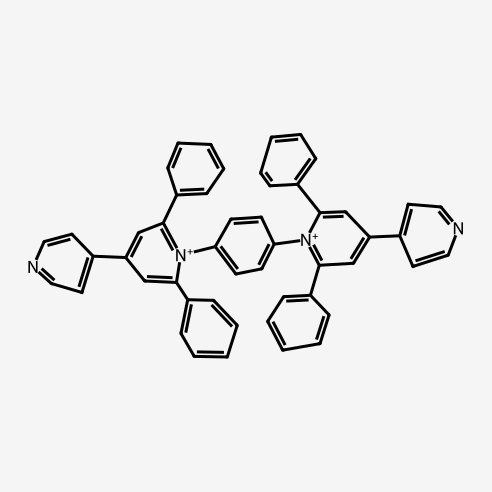 c1ccc(-c2cc(-c3ccncc3)cc(-c3ccccc3)[n+]2-c2ccc(-[n+]3c(-c4ccccc4)cc(-c4ccncc4)cc3-c3ccccc3)cc2)cc1